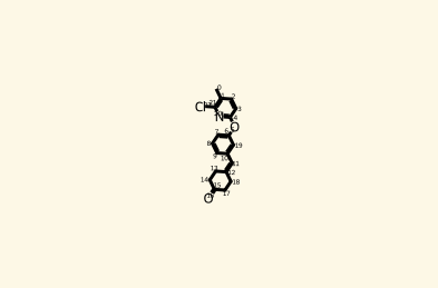 Cc1ccc(Oc2cccc(C=C3CCC(=O)CC3)c2)nc1Cl